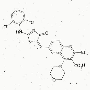 CCc1nc2ccc(C=C3SC(Nc4c(Cl)cccc4Cl)=NC3=O)cc2c(N2CCOCC2)c1C(=O)O